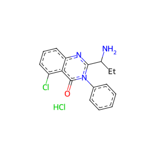 CCC(N)c1nc2cccc(Cl)c2c(=O)n1-c1ccccc1.Cl